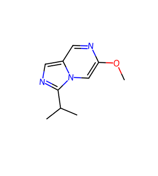 COc1cn2c(C(C)C)ncc2cn1